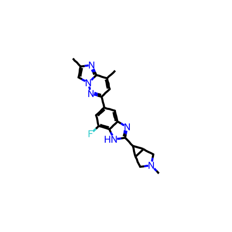 Cc1cn2nc(-c3cc(F)c4[nH]c(C5C6CN(C)CC65)nc4c3)cc(C)c2n1